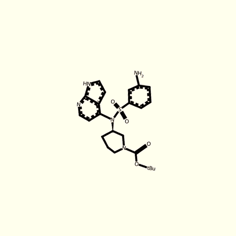 CC(C)(C)OC(=O)N1CCC[C@@H](N(c2ccnc3[nH]ccc23)S(=O)(=O)c2cccc(N)c2)C1